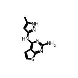 Cc1cc(Nc2nc(N)nc3sccc23)n[nH]1